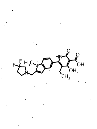 CCc1c(-c2ccc3c(c2)cc(CN2CCC(F)(F)C2)n3C)[nH]c(=O)c(C(=O)O)c1O